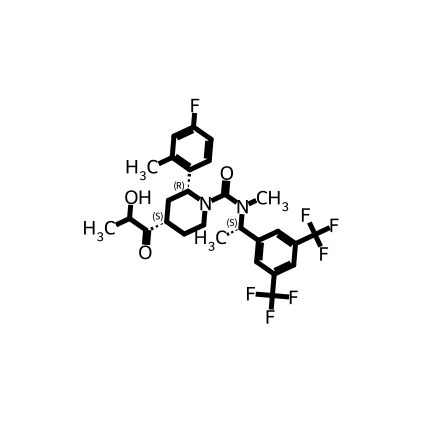 Cc1cc(F)ccc1[C@H]1C[C@@H](C(=O)C(C)O)CCN1C(=O)N(C)[C@@H](C)c1cc(C(F)(F)F)cc(C(F)(F)F)c1